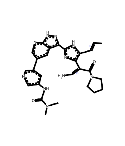 C/C=C/c1[nH]c(-c2n[nH]c3ncc(-c4cncc(NC(=O)N(C)C)c4)cc23)nc1/C(=C\N)C(=O)N1CCCC1